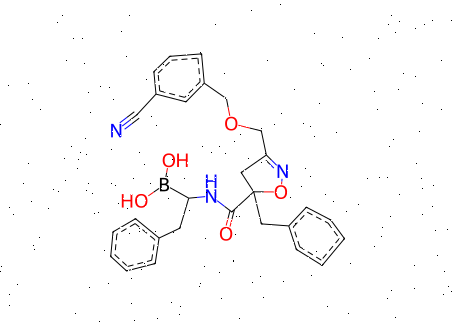 N#Cc1cccc(COCC2=NOC(Cc3ccccc3)(C(=O)NC(Cc3ccccc3)B(O)O)C2)c1